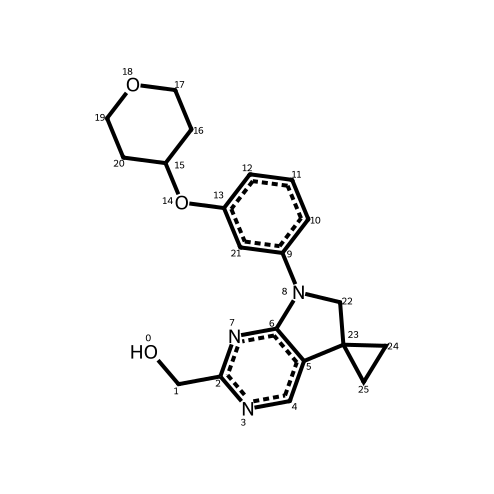 OCc1ncc2c(n1)N(c1cccc(OC3CCOCC3)c1)CC21CC1